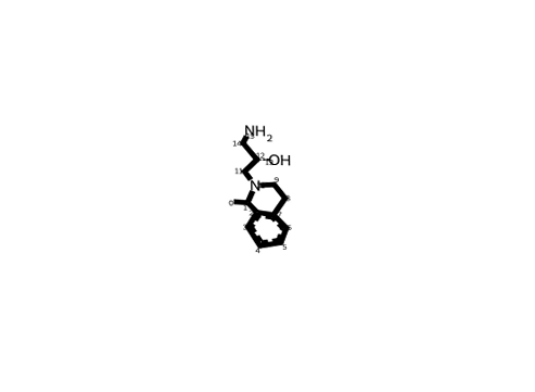 CC1c2ccccc2CCN1C[C@@H](O)CN